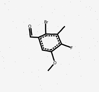 COc1cc(C=O)c(Br)c(C)c1F